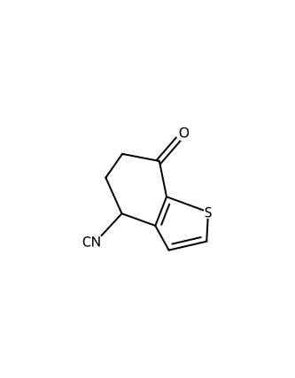 [C-]#[N+]C1CCC(=O)c2sccc21